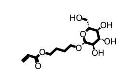 C=CC(=O)OCCCCO[C@@H]1O[C@H](CO)[C@@H](O)[C@H](O)[C@H]1O